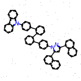 c1ccc(-c2ccccc2-c2ccc(-n3c4ccccc4c4ccccc43)cc2)c(-c2ccc(-n3nc(-c4cccc5ccccc45)cc3-c3cccc4ccccc34)cc2)c1